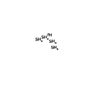 F.[SiH4].[SiH4].[SiH4].[SiH4]